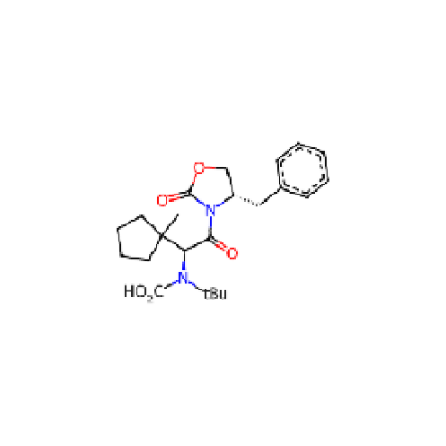 CC1([C@@H](C(=O)N2C(=O)OC[C@@H]2Cc2ccccc2)N(C(=O)O)C(C)(C)C)CCCC1